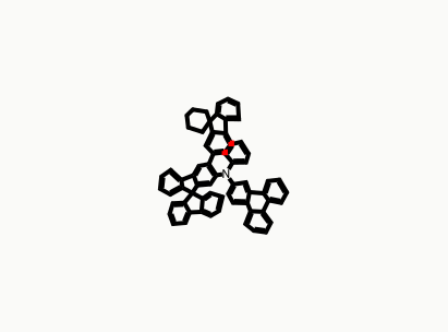 c1ccc(N(c2ccc3c4ccccc4c4ccccc4c3c2)c2cc3c(cc2-c2ccc4c(c2)C2(CCCCC2)c2ccccc2-4)-c2ccccc2C32c3ccccc3-c3ccccc32)cc1